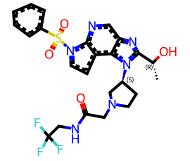 C[C@@H](O)c1nc2cnc3c(ccn3S(=O)(=O)c3ccccc3)c2n1[C@H]1CCN(CC(=O)NCC(F)(F)F)C1